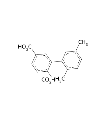 Cc1ccc(C)c(-c2cc(C(=O)O)ccc2C(=O)O)c1